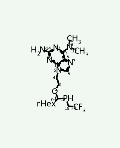 CCCCCCC(OCCn1cnc2c(N(C)C)nc(N)nc21)PCC(F)(F)F